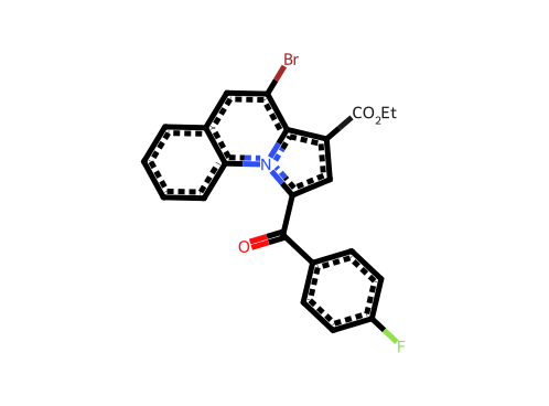 CCOC(=O)c1cc(C(=O)c2ccc(F)cc2)n2c1c(Br)cc1ccccc12